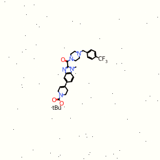 Cn1c(C(=O)N2CCN(Cc3ccc(C(F)(F)F)cc3)CC2)nc2cc(C3=CCN(C(=O)OC(C)(C)C)CC3)ccc21